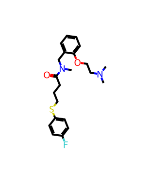 CN(C)CCOc1ccccc1CN(C)C(=O)CCCSc1ccc(F)cc1